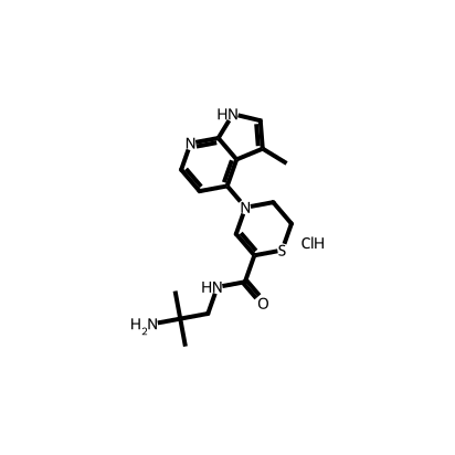 Cc1c[nH]c2nccc(N3C=C(C(=O)NCC(C)(C)N)SCC3)c12.Cl